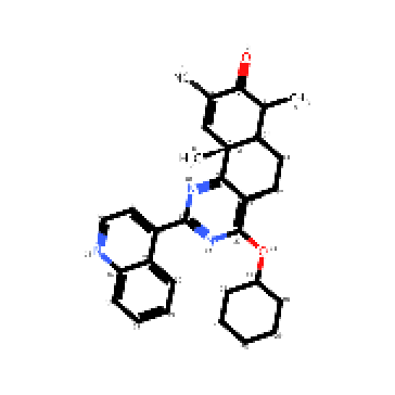 CC1C(=O)C(C#N)=C[C@@]2(C)c3nc(-c4ccnc5ccccc45)nc(OC4CCCCC4)c3CCC12